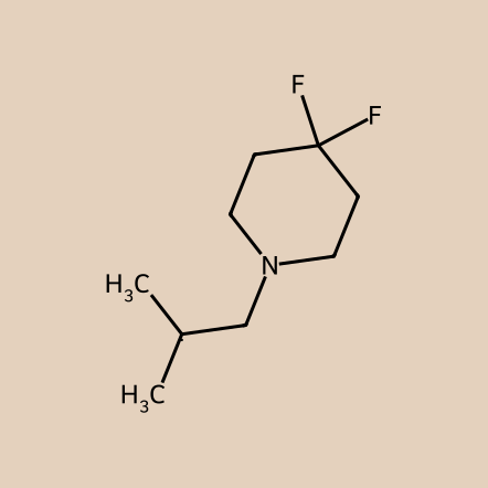 C[C](C)CN1CCC(F)(F)CC1